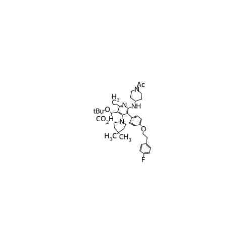 CC(=O)N1CCC(Nc2nc(C)c(C(OC(C)(C)C)C(=O)O)c(N3CCC(C)(C)CC3)c2-c2ccc(OCCc3ccc(F)cc3)cc2)CC1